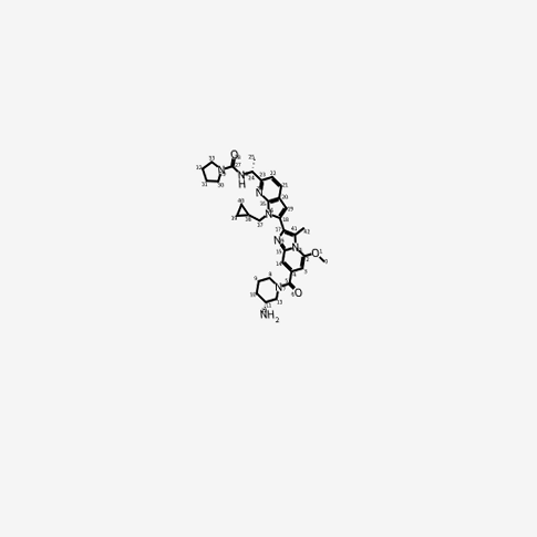 COc1cc(C(=O)N2CCC[C@@H](N)C2)cc2nc(-c3cc4ccc([C@@H](C)NC(=O)N5CCCC5)nc4n3CC3CC3)c(C)n12